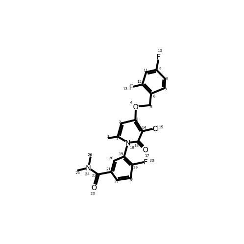 Cc1cc(OCc2ccc(F)cc2F)c(Cl)c(=O)n1-c1cc(C(=O)N(C)C)ccc1F